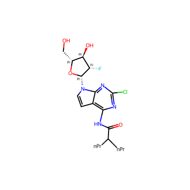 CCCC(CCC)C(=O)Nc1nc(Cl)nc2c1ccn2[C@@H]1O[C@H](CO)[C@@H](O)[C@@H]1F